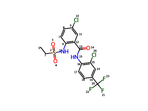 CCS(=O)(=O)Nc1ccc(Cl)cc1C(=O)Nc1ccc(C(F)(F)F)cc1Cl